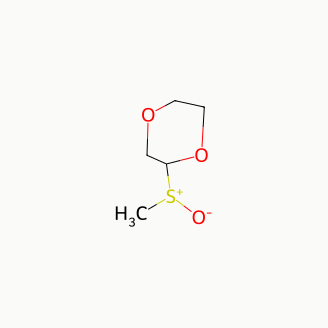 C[S+]([O-])C1COCCO1